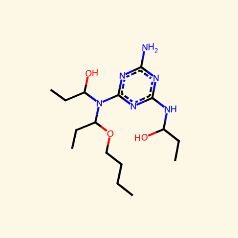 CCCCOC(CC)N(c1nc(N)nc(NC(O)CC)n1)C(O)CC